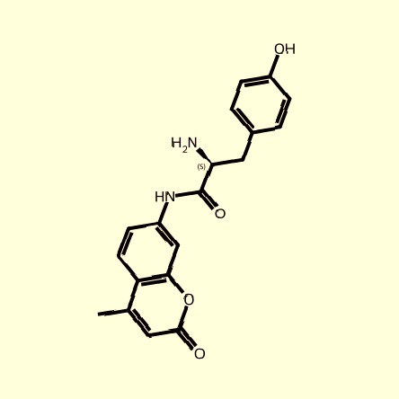 Cc1cc(=O)oc2cc(NC(=O)[C@@H](N)Cc3ccc(O)cc3)ccc12